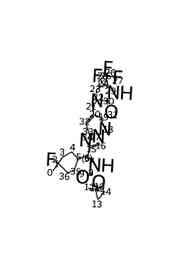 CC1(F)CCC([C@H](NC(=O)OC2(C)CC2)c2cn3ncc(CN4C[C@@H](C(F)(F)F)NC4=O)cc3n2)CC1